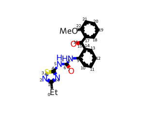 CCc1nsc(NC(=O)Nc2ccccc2C(=O)c2ccccc2OC)n1